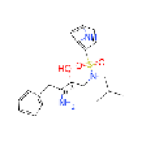 CC(C)CN(C[C@@H](O)[C@@H](N)Cc1ccccc1)S(=O)(=O)c1ccc2cc1N2